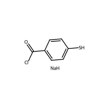 O=C(Cl)c1ccc(S)cc1.[NaH]